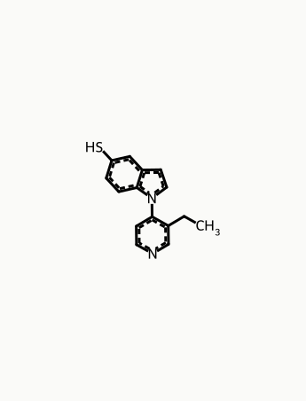 CCc1cnccc1-n1ccc2cc(S)ccc21